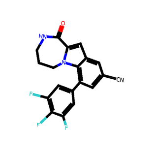 N#Cc1cc(-c2cc(F)c(F)c(F)c2)c2c(c1)cc1n2CCCNC1=O